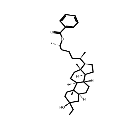 CC[C@]1(O)CC[C@@]2(C)[C@@H](CC[C@@H]3[C@@H]2CC[C@]2(C)[C@@H]([C@H](C)CCC[C@H](C)OC(=O)c4ccccc4)CC[C@@H]32)C1